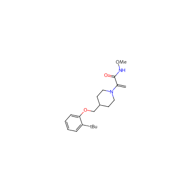 C=C(C(=O)NOC)N1CCC(COc2ccccc2C(C)(C)C)CC1